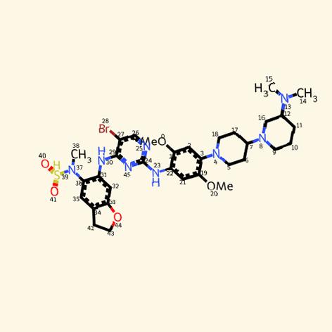 COc1cc(N2CCC(N3CCCC(N(C)C)C3)CC2)c(OC)cc1Nc1ncc(Br)c(Nc2cc3c(cc2N(C)[SH](=O)=O)CCO3)n1